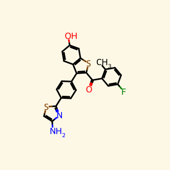 Cc1ccc(F)cc1C(=O)c1sc2cc(O)ccc2c1-c1ccc(-c2nc(N)cs2)cc1